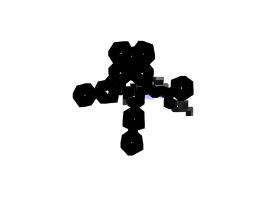 C=C/C(=C\C=C(/C)c1cc(-c2ccc(-c3ccccc3)cc2)nc(-n2c3ccc(-c4ccccc4)cc3c3ccc4c(c32)-c2ccccc2C42c3ccccc3-c3ccccc32)n1)c1ccccc1